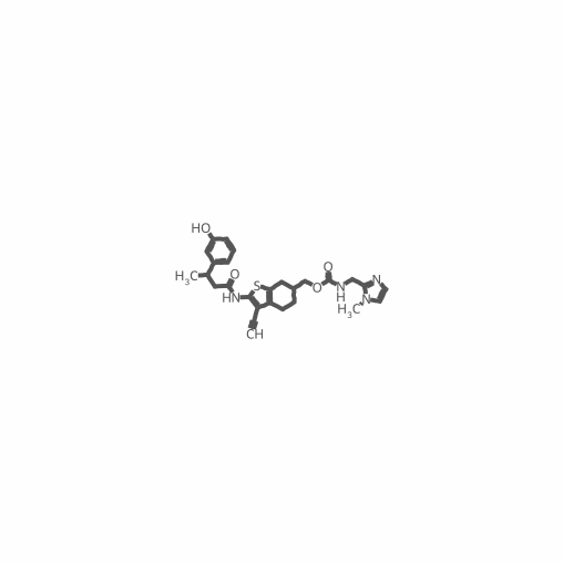 C#Cc1c(NC(=O)CC(C)c2cccc(O)c2)sc2c1CCC(COC(=O)NCc1nccn1C)C2